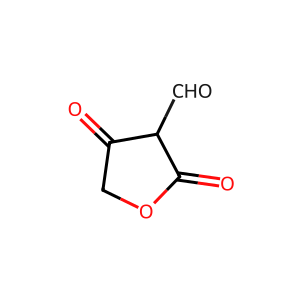 O=CC1C(=O)COC1=O